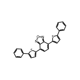 c1ccc(-c2ccc(-c3ccc(-c4ccc(-c5ccccc5)s4)c4nonc34)s2)cc1